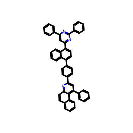 c1ccc(-c2cc(-c3ccc(-c4ccc(-c5cc(-c6ccccc6)c6c(ccc7ccccc76)n5)cc4)c4ccccc34)nc(-c3ccccc3)n2)cc1